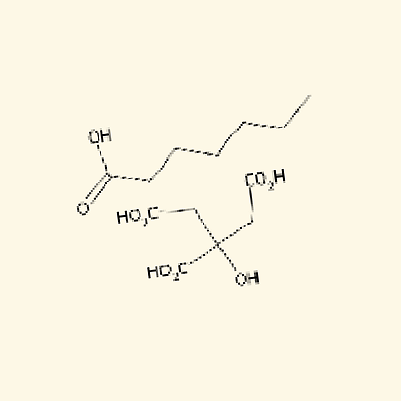 CCCCCCC(=O)O.O=C(O)CC(O)(CC(=O)O)C(=O)O